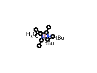 CC(C)(C)c1ccc2c(c1)c1cc(C(C)(C)C)cc3c1n2-c1cc(-c2ccccc2)cc2c1B3N(c1ccc(-c3ccccc3)cc1)c1cc3c(cc1-2)-c1ccccc1C3(C)C